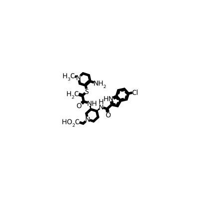 C=C(SC1=C(N)CCN(C)C1)C(=O)N[C@@H]1CN(CC(=O)O)CC[C@@H]1NC(=O)c1cc2cc(Cl)ccc2[nH]1